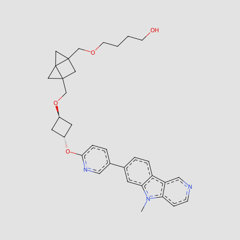 Cn1c2ccncc2c2ccc(-c3ccc(O[C@H]4C[C@H](OCC56CC7(COCCCCO)CC75C6)C4)nc3)cc21